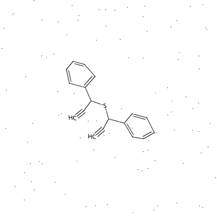 C#CC(SC(C#C)c1ccccc1)c1ccccc1